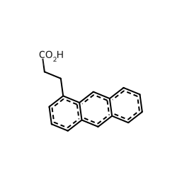 O=C(O)CCc1cccc2cc3ccccc3cc12